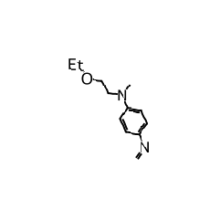 C=Nc1ccc(N(C)CCOCC)cc1